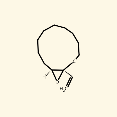 C=C[C@@]12CCCCCCCCCC[C@@H]1O2